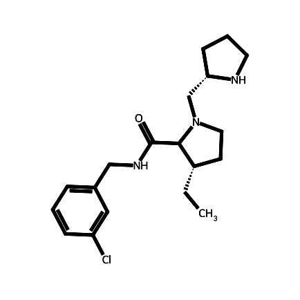 CC[C@H]1CCN(C[C@@H]2CCCN2)C1C(=O)NCc1cccc(Cl)c1